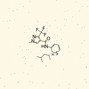 CC(C)CC(C)[C@H]1SC=CC=C1NC(=O)c1cn(C)nc1C(F)(F)F